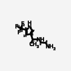 CC(NCCN)c1c[nH]c(C(F)(F)F)c1